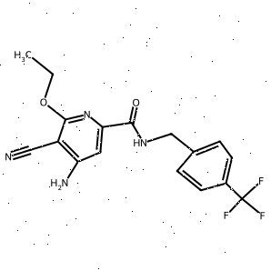 CCOc1nc(C(=O)NCc2ccc(C(F)(F)F)cc2)cc(N)c1C#N